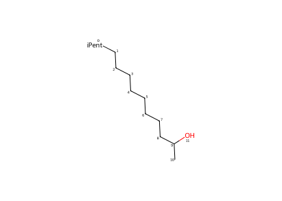 CCCC(C)CCCCCCCCC(C)O